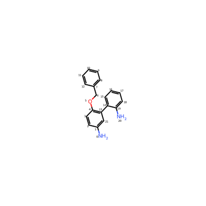 Nc1ccc(OCc2ccccc2)c(-c2ccccc2N)c1